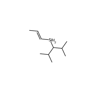 CC=C[SiH2]C(C(C)C)C(C)C